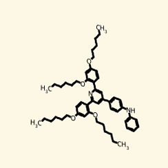 CCCCCCOc1ccc(-c2cc(-c3ccc(Nc4ccccc4)cc3)cc(-c3ccc(OCCCCCC)cc3OCCCCCC)n2)c(OCCCCCC)c1